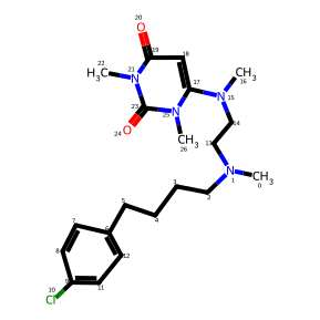 CN(CCCCc1ccc(Cl)cc1)CCN(C)c1cc(=O)n(C)c(=O)n1C